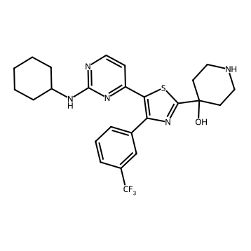 OC1(c2nc(-c3cccc(C(F)(F)F)c3)c(-c3ccnc(NC4CCCCC4)n3)s2)CCNCC1